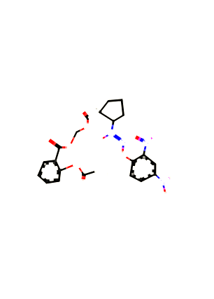 CC(=O)Oc1ccccc1C(=O)OCOC(=O)[C@@H]1CCCC1/[N+]([O-])=N/Oc1ccc([N+](=O)[O-])cc1[N+](=O)[O-]